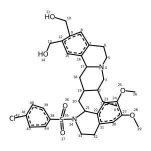 CCC1CN2CCc3cc(CO)c(CO)cc3C2CC1CC1c2cc(OC)c(OC)cc2CCN1S(=O)(=O)c1ccc(Cl)cc1